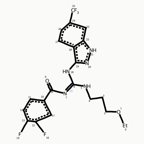 CCOCCCN/C(=N/C(=O)c1ccc(F)c(F)c1)Nc1n[nH]c2cc(C(F)(F)F)ccc12